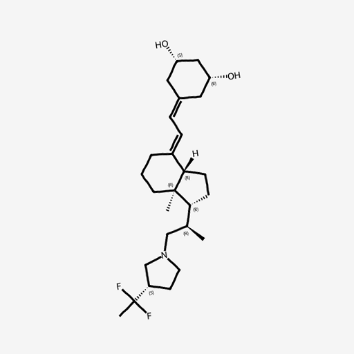 C[C@@H](CN1CC[C@H](C(C)(F)F)C1)[C@H]1CC[C@H]2C(=CC=C3C[C@@H](O)C[C@@H](O)C3)CCC[C@]12C